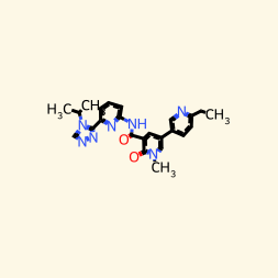 CCc1ccc(-c2cc(C(=O)Nc3cccc(-c4nncn4C(C)C)n3)c(=O)n(C)c2)cn1